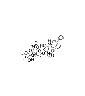 CC1C[C@@H]2OC(O[C@H]3OC(C)[C@@H](C)[C@H](O)C3O)C3C(OC(=O)N3C)C2O[C@@H]1O[C@H]1CC(O)[C@H](NC(=O)OCc2ccccc2)CC1NC(=O)OCc1ccccc1